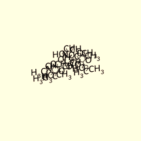 CCC(C)N(C)C1C(=O)C(C)(CCC2(C)C(=O)C(N(O)C(C)CC)C(=O)C(C)(CCC3(C)C(=O)C(C(O)CC(C)C)C(=O)C(C)(C)C3=O)C2=O)C(=O)C(C)(C)C1O